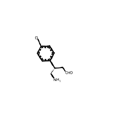 NC[C@@H](CC=O)c1ccc(Cl)cc1